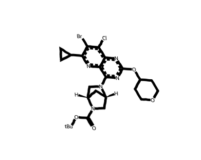 CC(C)(C)OC(=O)N1C[C@@H]2C[C@H]1CN2c1nc(OC2CCOCC2)nc2c(Cl)c(Br)c(C3CC3)nc12